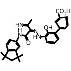 CC(=N)/C(=N/Nc1cccc(-c2cccc(C(=O)O)c2)c1O)C(=O)Nc1ccc2c(c1)C(C)(C)CC2(C)C